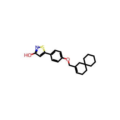 Oc1cc(-c2ccc(OCC3=CCCC4(CCCCC4)C3)cc2)sn1